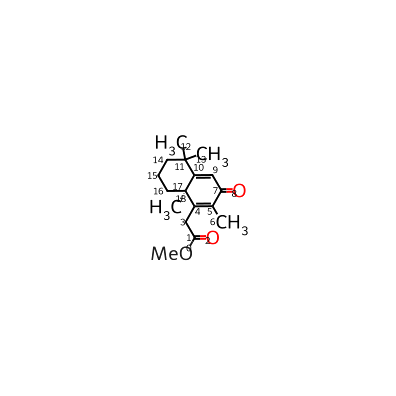 COC(=O)CC1=C(C)C(=O)C=C2C(C)(C)CCC[C@@]21C